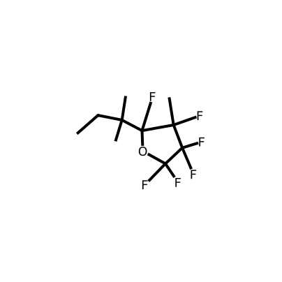 CCC(C)(C)C1(F)OC(F)(F)C(F)(F)C1(C)F